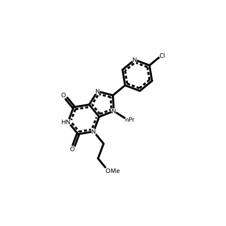 CCCn1c(-c2ccc(Cl)nc2)nc2c(=O)[nH]c(=O)n(CCOC)c21